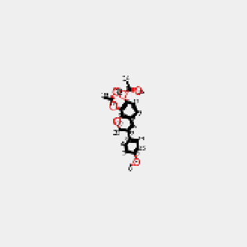 COc1ccc(C2=Cc3ccc(OC(C)=O)c(OC(C)=O)c3OC2)cc1